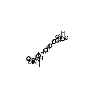 O=C1CCC(N2Cc3cc(C4CCN(C5CCN(CCN6CCN7c8cc(-c9ccccc9O)nnc8NC[C@H]7C6)CC5)CC4)ccc3C2=O)C(=O)N1